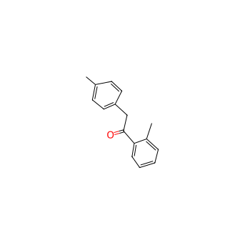 Cc1ccc(CC(=O)c2ccccc2C)cc1